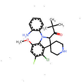 COc1cc(F)c(Cl)c2c1N(c1ccccc1N)C(C(=O)C(C)(C)C)C21CCNCC1